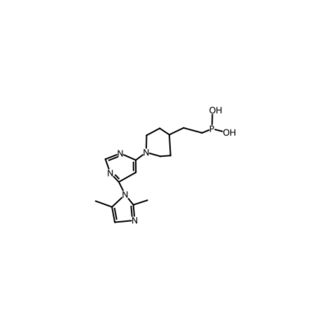 Cc1cnc(C)n1-c1cc(N2CCC(CCP(O)O)CC2)ncn1